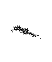 N#Cc1ccc2nc(NC(=O)Nc3cccc(OCCOCCN)c3)sc2c1